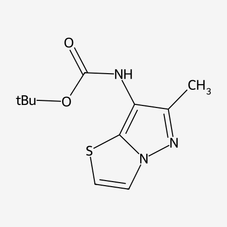 Cc1nn2ccsc2c1NC(=O)OC(C)(C)C